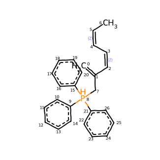 C=C(/C=C\C=C/C)C[PH](c1ccccc1)(c1ccccc1)c1ccccc1